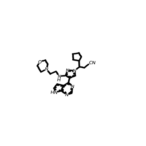 N#CCC(C1CCCC1)n1cc(-c2ncnc3[nH]ccc23)c(NCCN2CCOCC2)n1